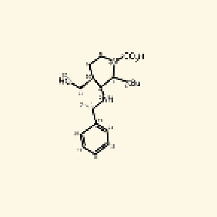 C[C@H](N[C@@H]1C(C(C)(C)C)N(C(=O)O)CC[C@@H]1CO)c1ccccc1